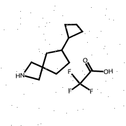 C1CC(C2CCC3(CNC3)C2)C1.O=C(O)C(F)(F)F